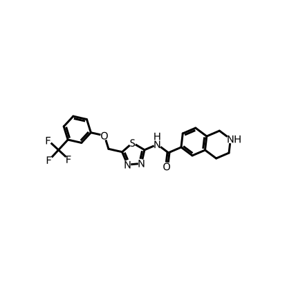 O=C(Nc1nnc(COc2cccc(C(F)(F)F)c2)s1)c1ccc2c(c1)CCNC2